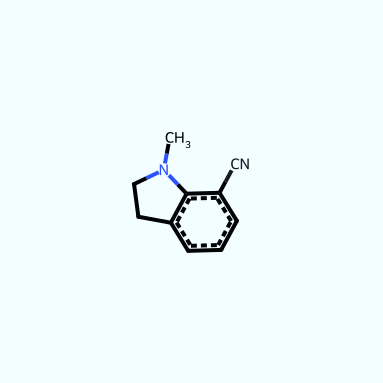 CN1CCc2cccc(C#N)c21